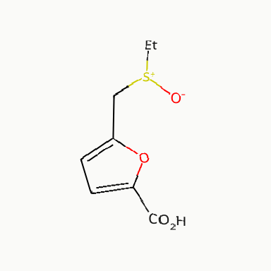 CC[S+]([O-])Cc1ccc(C(=O)O)o1